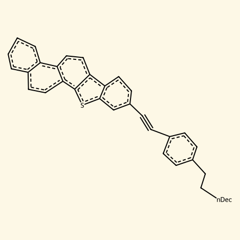 CCCCCCCCCCCCc1ccc(C#Cc2ccc3c(c2)sc2c3ccc3c4ccccc4ccc32)cc1